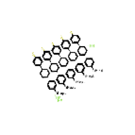 CCCCCCCc1ccc([C@H]2CC[C@H](c3ccc([S])cc3)CC2)cc1.CCCCCCCc1ccc([C@H]2CC[C@H](c3ccc([S])cc3)CC2)cc1.CCCCCCCc1ccc([C@H]2CC[C@H](c3ccc([S])cc3)CC2)cc1.CCCCCCCc1ccc([C@H]2CC[C@H](c3ccc([S])cc3)CC2)cc1.CCCCCCCc1ccc([C@H]2CC[C@H](c3ccc([S])cc3)CC2)cc1.F.F.F.F.F